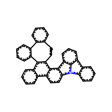 c1ccc2c(c1)-c1ccccc1-c1c(c3c(ccc4c3c3cccc5c6ccccc6n4c53)c3ccccc13)-c1ccccc1-2